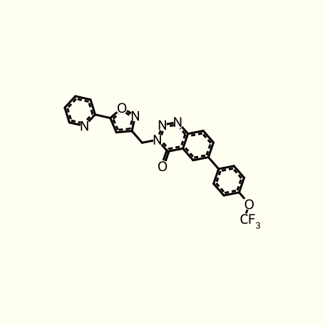 O=c1c2cc(-c3ccc(OC(F)(F)F)cc3)ccc2nnn1Cc1cc(-c2ccccn2)on1